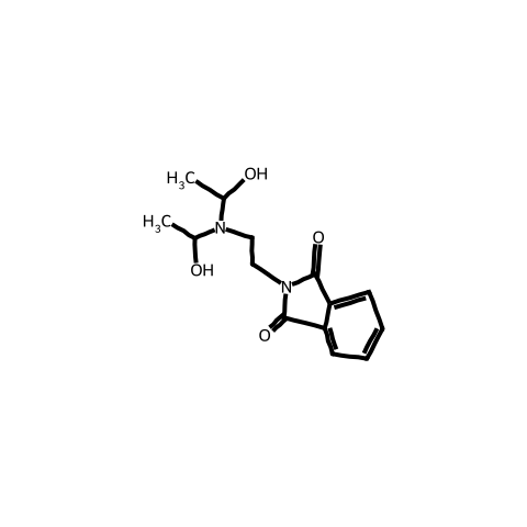 CC(O)N(CCN1C(=O)c2ccccc2C1=O)C(C)O